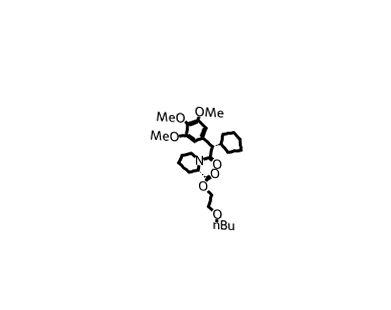 CCCCOCCOC(=O)[C@@H]1CCCCN1C(=O)[C@H](c1cc(OC)c(OC)c(OC)c1)C1CCCCC1